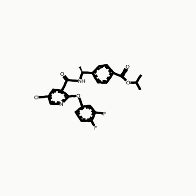 CC(C)OC(=O)c1ccc([C@H](C)NC(=O)c2cc(Cl)cnc2Oc2ccc(F)c(F)c2)cc1